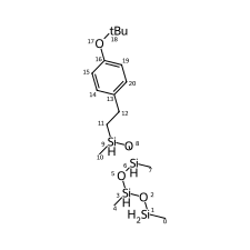 C[SiH2]O[SiH](C)O[SiH](C)O[SiH](C)CCc1ccc(OC(C)(C)C)cc1